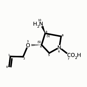 C=CCO[C@H]1CN(C(=O)O)C[C@@H]1N